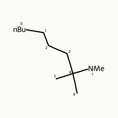 CCCCCCCC(C)(C)NC